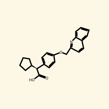 O=C(O)[C@H](c1ccc(OCc2ccc3ccccc3n2)cc1)C1CCCC1